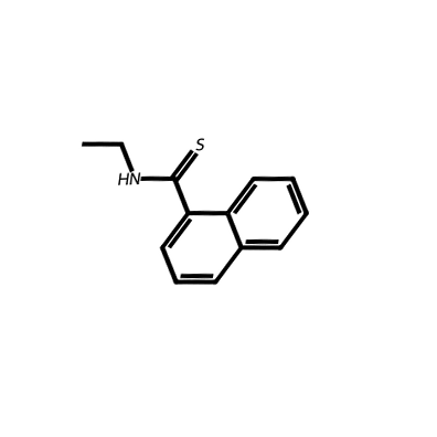 CCNC(=S)c1cccc2ccccc12